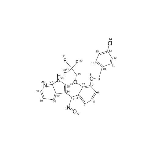 O=NC(c1cccc(OCc2ccc(Cl)cc2)c1OCC(F)(F)F)c1c[nH]c2ncccc12